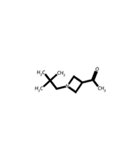 CC(=O)C1CN(CC(C)(C)C)C1